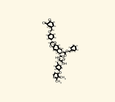 Cc1nccc(Oc2ccc(C[C@H](NC(=O)[C@@H]3Cc4cc5c(cc4CN3C(=O)OCc3ccccc3)O[C@@H](c3ccc(OCc4ccc(Cl)c(Cl)c4)cc3)CO5)C(=O)O)cc2)c1C